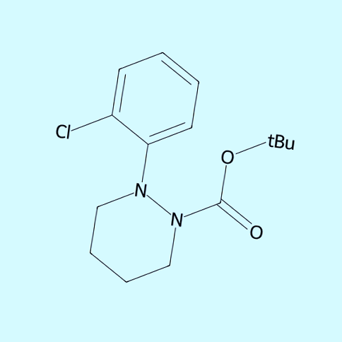 CC(C)(C)OC(=O)N1CCCCN1c1ccccc1Cl